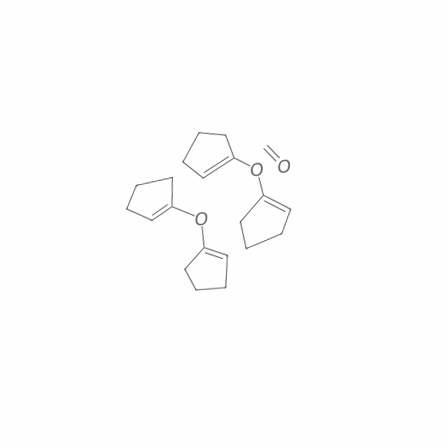 C1=C(OC2=CCCC2)CCC1.C1=C(OC2=CCCC2)CCC1.C=O